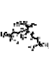 CCCN=C(CC)[Si](C)(OCCN(C)C)OCCN(C)C